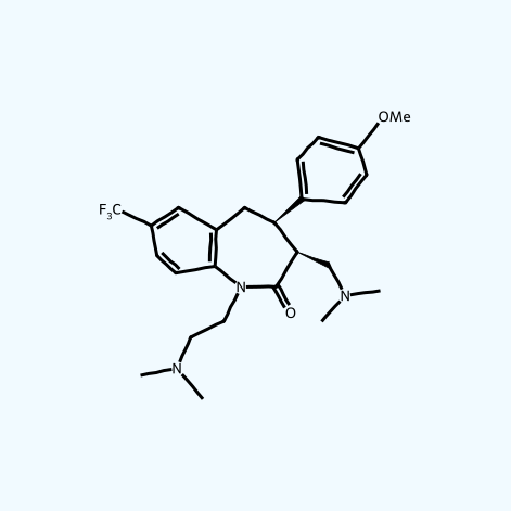 COc1ccc([C@@H]2Cc3cc(C(F)(F)F)ccc3N(CCN(C)C)C(=O)[C@@H]2CN(C)C)cc1